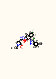 CCCCn1ccc(CC(=O)N[C@@H](Cc2cc(F)cc(F)c2)[C@H](O)CNCc2cccc(CC)c2)cc1=O